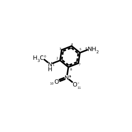 CNc1ccc(N)cc1[N+](=O)[O-]